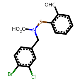 O=Cc1ccccc1SN(Cc1ccc(Br)c(Cl)c1)C(=O)O